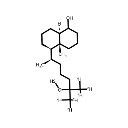 [2H]C([2H])([2H])C(CCC[C@@H](C)[C@H]1CCC[C@H]2C(O)CCC[C@]12C)(OS)C([2H])([2H])[2H]